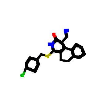 N=Cc1c2c(c(SCc3ccc(Cl)cc3)[nH]c1=O)CCc1ccccc1-2